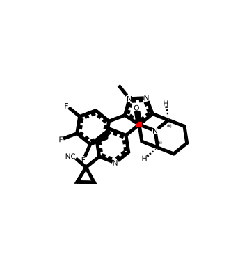 Cn1nc2c(c1-c1cc(F)c(F)c(F)c1)C[C@@H]1CCC[C@H]2N1C(=O)c1ccc(C2(C#N)CC2)nc1